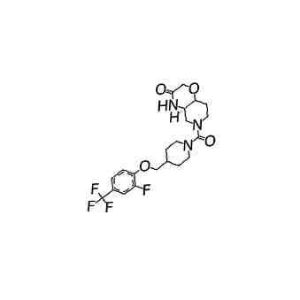 O=C1COC2CCN(C(=O)N3CCC(COc4ccc(C(F)(F)F)cc4F)CC3)C[C@H]2N1